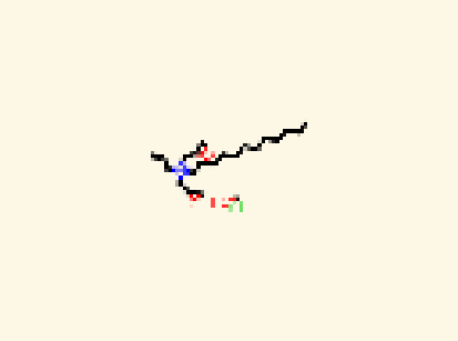 C=CC[N+](CCCCCCCCCCCC)(CC1CO1)CC1CO1.CO.[Cl-]